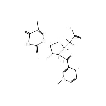 Cc1cn([C@@H]2O[C@](F)(C(O)(F)C(=O)C(C)(C)C)[C@](O)(C(=O)C3=CN(C)C=CC3)C2F)c(=O)[nH]c1=O